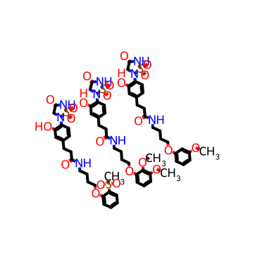 COc1cccc(OCCCCNC(=O)CCc2ccc(N3CC(=O)NS3(=O)=O)c(O)c2)c1.COc1cccc(OCCCCNC(=O)CCc2ccc(N3CC(=O)NS3(=O)=O)c(O)c2)c1OC.CS(=O)(=O)c1ccccc1OCCCCNC(=O)CCc1ccc(N2CC(=O)NS2(=O)=O)c(O)c1